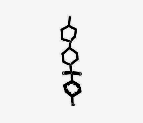 CC1CCN(C2CCN(S(=O)(=O)c3ccc(Br)cc3)CC2)CC1